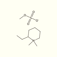 CCC1CCCC[N+]1(C)C.COS(=O)(=O)[O-]